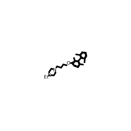 CCN1CCN(CCCCOc2ccc(C)c(-c3c(C)cccc3C)c2C)CC1